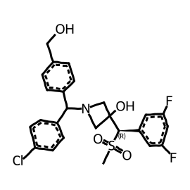 CS(=O)(=O)[C@H](c1cc(F)cc(F)c1)C1(O)CN(C(c2ccc(Cl)cc2)c2ccc(CO)cc2)C1